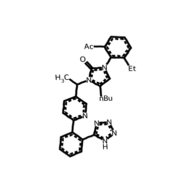 CCCCc1cn(-c2c(CC)cccc2C(C)=O)c(=O)n1C(C)c1ccc(-c2ccccc2-c2nnn[nH]2)nc1